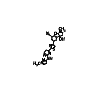 CN1CC[C@@](O)(c2cc(C#N)cc(-c3csc(-c4ccnc(Nc5ccn(C)n5)n4)n3)c2)C1=O